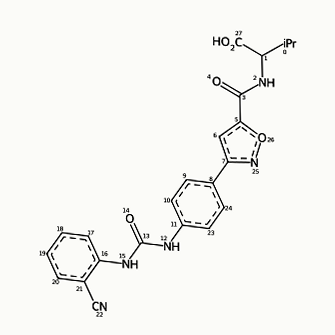 CC(C)C(NC(=O)c1cc(-c2ccc(NC(=O)Nc3ccccc3C#N)cc2)no1)C(=O)O